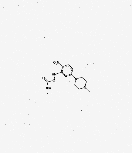 CN1CCN(c2ccc([N+](=O)[O-])c(NOC(=O)C(C)(C)C)c2)CC1